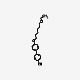 C=COCCCCCCOc1ccc(-c2ccc(C#N)cc2)cc1